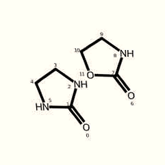 O=C1NCCN1.O=C1NCCO1